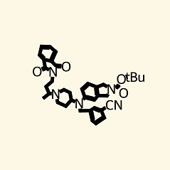 CC(CCN1C(=O)c2ccccc2C1=O)N1CCC(N(Cc2cccc(C#N)c2)c2ccc3c(c2)CN(C(=O)OC(C)(C)C)C3)CC1